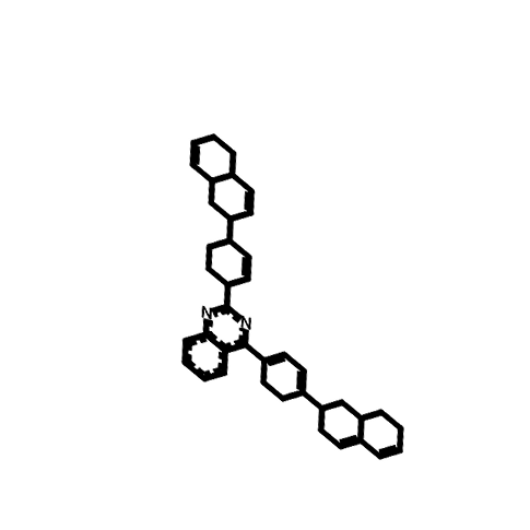 C1=CC2=CCC(C3=CC=C(c4nc(C5C=CC(C6C=CC7CCC=CC7C6)CC5)nc5ccccc45)CC3)CC2CC1